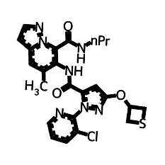 CCCNC(=O)c1c(NC(=O)c2cc(OC3CSC3)nn2-c2ncccc2Cl)c(C)cc2ccnn12